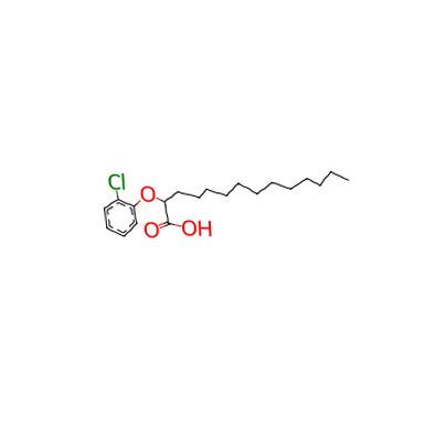 CCCCCCCCCCCCC(Oc1ccccc1Cl)C(=O)O